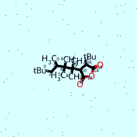 CC(CC(C)(C)C)C(C)(C)C(C)(C)C1C(=O)OC(=O)C1C(C)(C)C